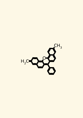 C=c1ccc2c3c(ccc2c1)=C(c1ccccc1)c1ccc2cc(C)ccc2c1O3